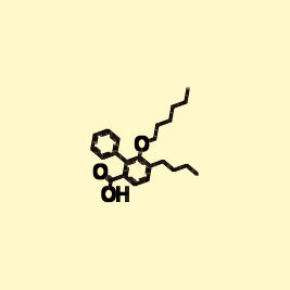 CCCCCCOc1c(CCCC)ccc(C(=O)O)c1-c1ccccc1